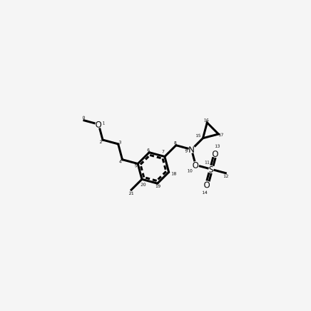 COCCCc1cc(CN(OS(C)(=O)=O)C2CC2)ccc1C